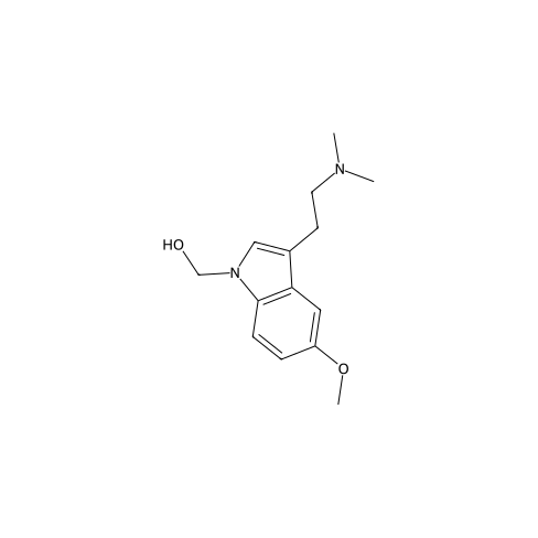 COc1ccc2c(c1)c(CCN(C)C)cn2CO